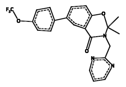 CC1(C)Oc2ccc(-c3ccc(OC(F)(F)F)cc3)cc2C(=O)N1Cc1ncccn1